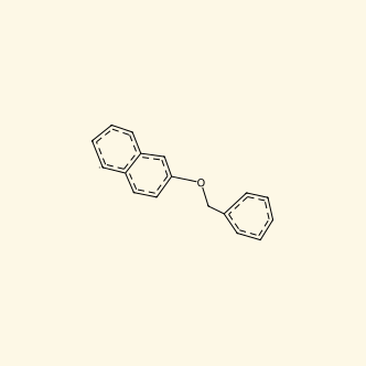 [c]1cccc2cc(OCc3ccccc3)ccc12